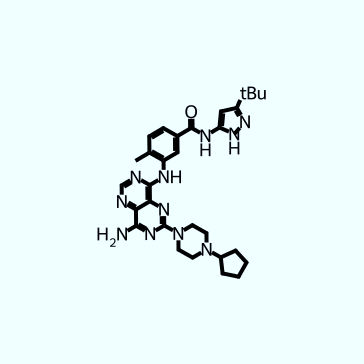 Cc1ccc(C(=O)Nc2cc(C(C)(C)C)n[nH]2)cc1Nc1ncnc2c(N)nc(N3CCN(C4CCCC4)CC3)nc12